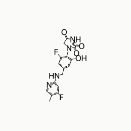 Cc1cnc(NCc2cc(O)c(N3CC(=O)NS3(=O)=O)c(F)c2)cc1F